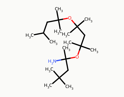 CC(C)CC(C)(C)OC(C)(C)CC(C)(C)OC(C)(N)CC(C)(C)C